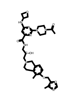 CC(=O)N1CCN(c2nc(NC3COC3)cc(C(=O)NC[C@H](O)CN3CCc4c(ccc(OCc5ocnc5C)c4C)C3)n2)CC1